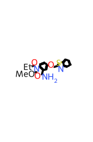 CCC(=O)N(C(=O)OC)c1ccc(OCc2nc3ccccc3s2)cc1CN